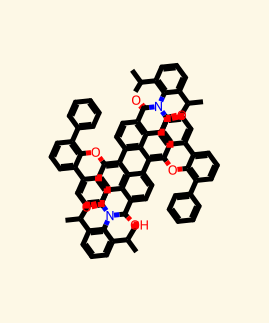 CC(C)c1cccc(C(C)C)c1N1C(=O)c2ccc3c4c(Oc5c(-c6ccccc6)cccc5-c5ccccc5)cc5c6c(ccc(c7c(Oc8c(-c9ccccc9)cccc8-c8ccccc8)cc(c2c37)C1=O)c64)C(O)N(c1c(C(C)C)cccc1C(C)C)C5=O